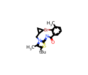 Cc1cccc(C(=O)/N=c2\sc(C(C)(C)C)c(C)n2CC2CC2)c1Br